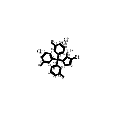 CCC1=CCC(C(c2cccc(C)c2)(c2cccc(C)c2)c2cccc(C)c2)=[C]1[Ti+3].[Cl-].[Cl-].[Cl-]